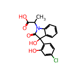 CC(C(=O)O)N1C(=O)C(O)(c2ccc(Cl)cc2O)c2ccccc21